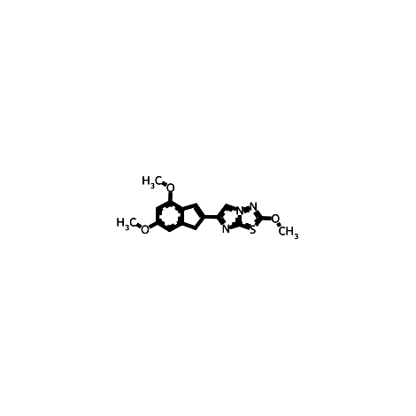 COc1cc2c(c(OC)c1)C=C(c1cn3nc(OC)sc3n1)C2